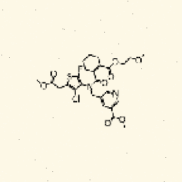 COCCOC(=O)C1=C(C(=O)N(Cc2cncc(C(=O)OC)c2)c2c(F)sc(CC(=O)OC)c2Cl)CCCC1